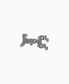 C=C(C)C(=O)O.FB(F)F